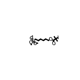 CO[Si](CCCCCCOC(=O)C(C)(C)I)(OC)OC